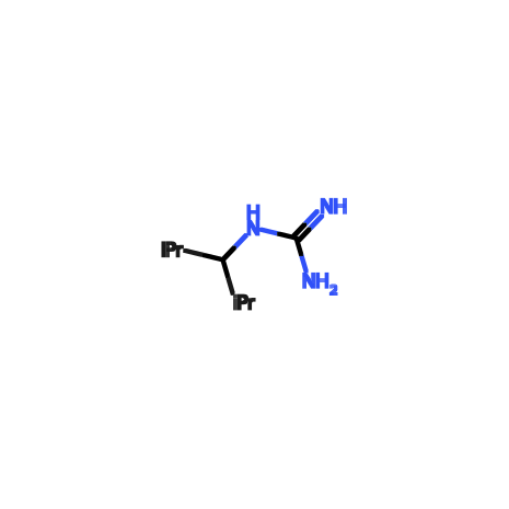 CC(C)C(NC(=N)N)C(C)C